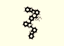 CC1(C)c2cc(-c3nc(-c4cccc5c4oc4ccccc45)nc4ccccc34)ccc2-n2c3c1cccc3c1sc3ccccc3c12